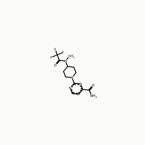 CN(C(=O)C(F)(F)F)C1CCN(c2nc[c]c(C(N)=O)n2)CC1